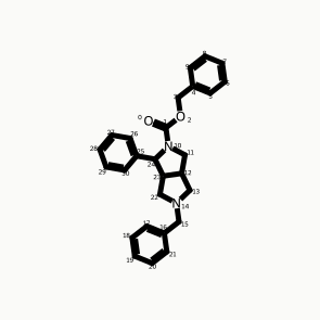 O=C(OCc1ccccc1)N1CC2CN(Cc3ccccc3)CC2C1c1ccccc1